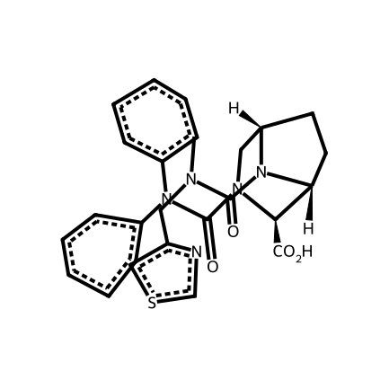 CN(Cc1cscn1)C(=O)N1[C@H]2CC[C@@H]1[C@@H](C(=O)O)N(C(=O)N(c1ccccc1)c1ccccc1)C2